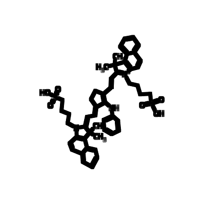 CC1(C)C(/C=C/C2=C(Nc3ccccc3)C(=C/C=C3/N(CCCCS(=O)(=O)O)c4ccc5ccccc5c4C3(C)C)/CC2)=[N+](CCCCS(=O)(=O)O)c2ccc3ccccc3c21